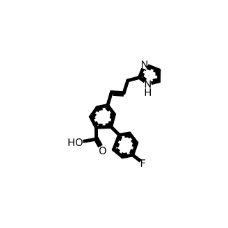 O=C(O)c1ccc(/C=C/Cc2ncc[nH]2)cc1-c1ccc(F)cc1